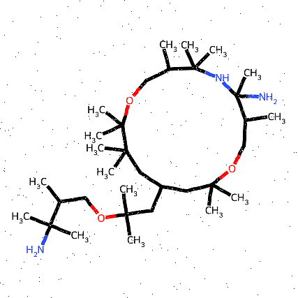 CC(COC(C)(C)CC1CC(C)(C)OCC(C)C(C)(N)NC(C)(C)C(C)COC(C)(C)C(C)(C)C1)C(C)(C)N